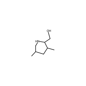 CC1CNC(CO)C(C)C1